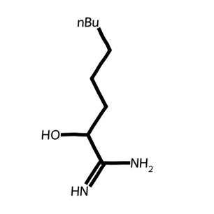 CCCCCCCC(O)C(=N)N